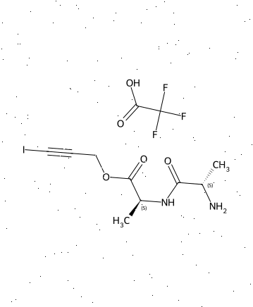 C[C@H](N)C(=O)N[C@@H](C)C(=O)OCC#CI.O=C(O)C(F)(F)F